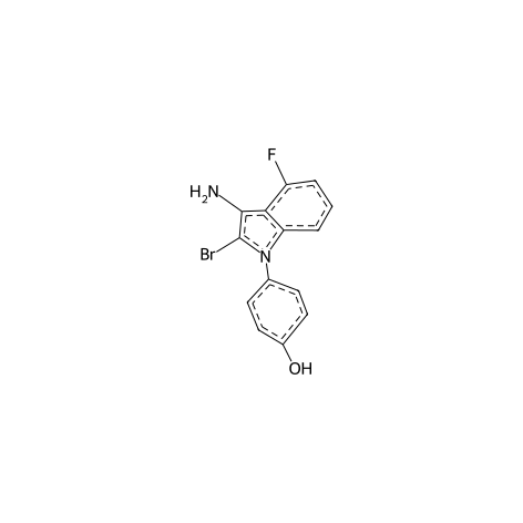 Nc1c(Br)n(-c2ccc(O)cc2)c2cccc(F)c12